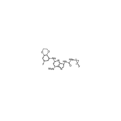 CNc1cc(Nc2cc(F)cc3c2OCCO3)nc2c(NC(=O)N[C@H]3C[C@H]3F)cnn12